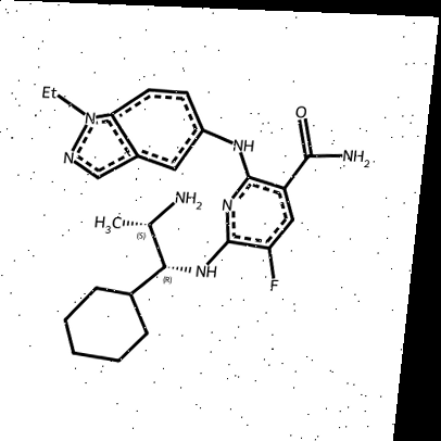 CCn1ncc2cc(Nc3nc(N[C@H](C4CCCCC4)[C@H](C)N)c(F)cc3C(N)=O)ccc21